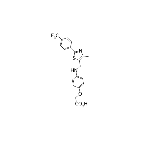 Cc1nc(-c2ccc(C(F)(F)F)cc2)sc1CNc1ccc(OCC(=O)O)cc1